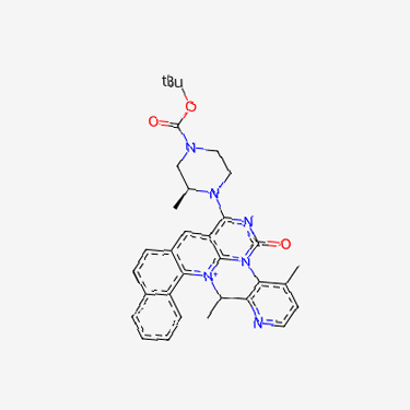 Cc1ccnc2c1-n1c(=O)nc(N3CCN(C(=O)OC(C)(C)C)C[C@@H]3C)c3cc4ccc5ccccc5c4[n+](c31)C2C